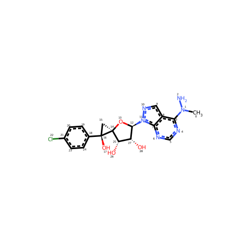 CN(N)c1ncnc2c1cnn2[C@@H]1O[C@@]2(C[C@@]2(O)c2ccc(Cl)cc2)[C@@H](O)[C@H]1O